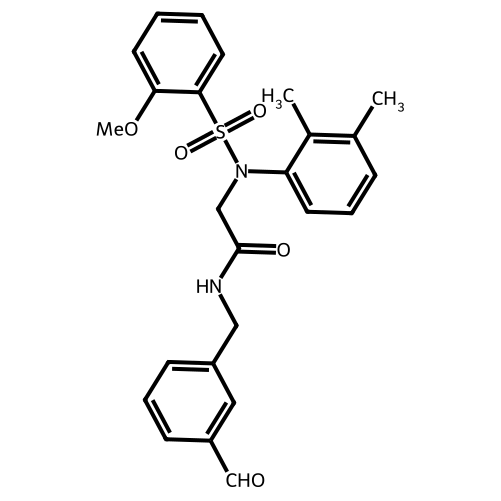 COc1ccccc1S(=O)(=O)N(CC(=O)NCc1cccc(C=O)c1)c1cccc(C)c1C